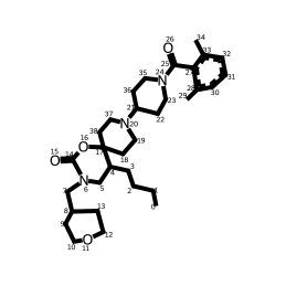 CCCCC1CN(CC2CCOCC2)C(=O)OC12CCN(C1CCN(C(=O)c3c(C)cccc3C)CC1)CC2